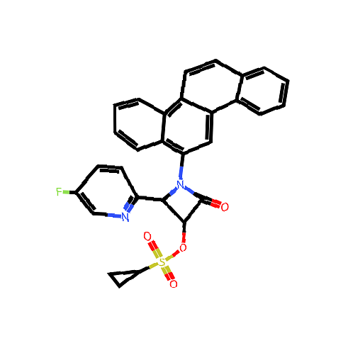 O=C1C(OS(=O)(=O)C2CC2)C(c2ccc(F)cn2)N1c1cc2c3ccccc3ccc2c2ccccc12